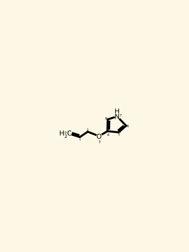 C=CCOc1[c]c[nH]c1